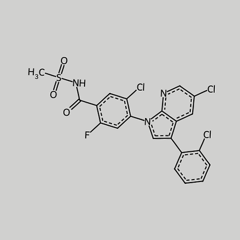 CS(=O)(=O)NC(=O)c1cc(Cl)c(-n2cc(-c3ccccc3Cl)c3cc(Cl)cnc32)cc1F